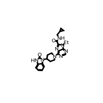 CCn1c(C(=O)NCC2CC2)nc2c(N3CCC(n4c(=O)[nH]c5ccccc54)CC3)ncnc21